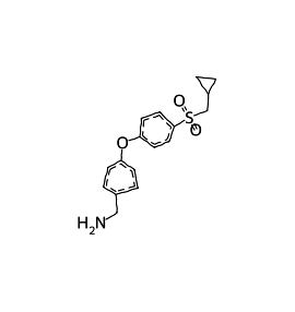 NCc1ccc(Oc2ccc(S(=O)(=O)CC3CC3)cc2)cc1